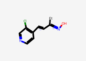 CCC(/C=C/c1ccncc1Cl)=N\O